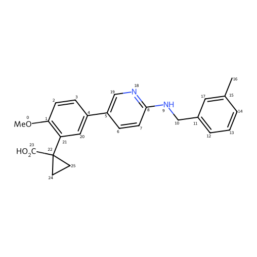 COc1ccc(-c2ccc(NCc3cccc(C)c3)nc2)cc1C1(C(=O)O)CC1